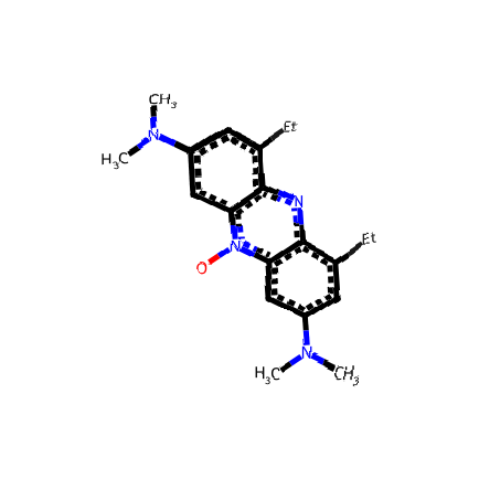 CCc1cc(N(C)C)cc2c1nc1c(CC)cc(N(C)C)cc1[n+]2[O-]